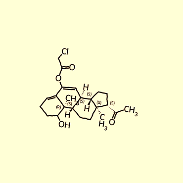 CC(=O)[C@H]1CC[C@H]2[C@@H]3C=C(OC(=O)CCl)C4=CCCC(O)[C@]4(C)[C@H]3CC[C@]12C